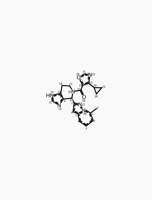 Cc1cccc2cc([C@H]3c4nc[nH]c4CCN3C(=O)c3ocnc3C3CC3)nn12